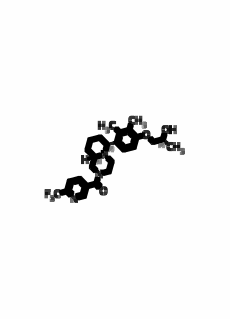 Cc1c(OC[C@@H](C)O)ccc([C@H]2CCC[C@H]3CN(C(=O)c4ccc(C(F)(F)F)nc4)CCN32)c1C